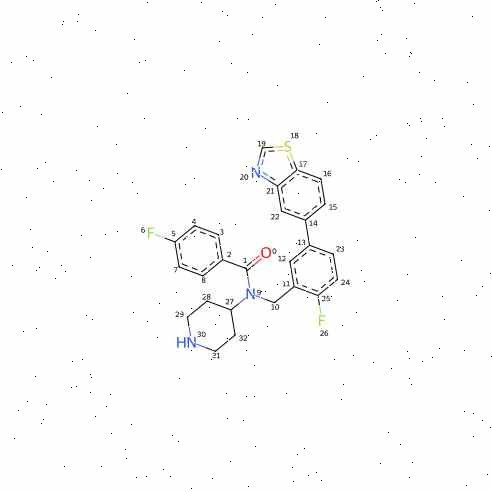 O=C(c1ccc(F)cc1)N(Cc1cc(-c2ccc3scnc3c2)ccc1F)C1CCNCC1